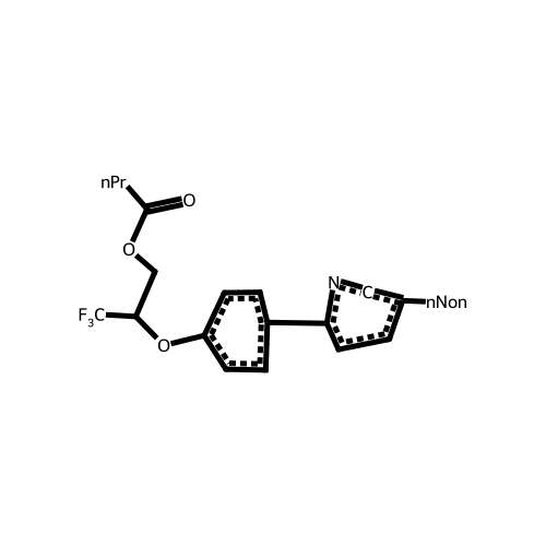 CCCCCCCCCc1ccc(-c2ccc(OC(COC(=O)CCC)C(F)(F)F)cc2)nc1